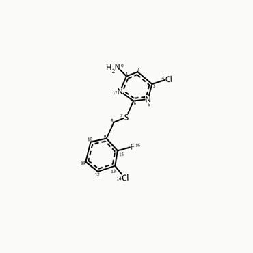 Nc1cc(Cl)nc(SCc2cccc(Cl)c2F)n1